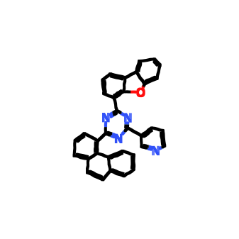 c1cncc(-c2nc(-c3cccc4c3oc3ccccc34)nc(-c3cccc4ccc5ccccc5c34)n2)c1